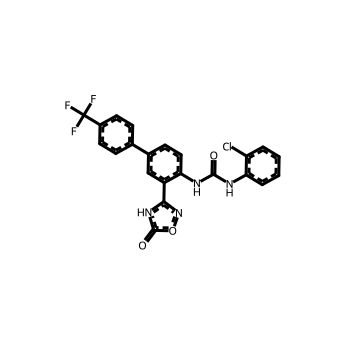 O=C(Nc1ccccc1Cl)Nc1ccc(-c2ccc(C(F)(F)F)cc2)cc1-c1noc(=O)[nH]1